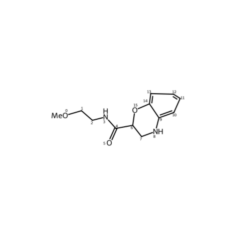 COCCNC(=O)C1CNc2ccccc2O1